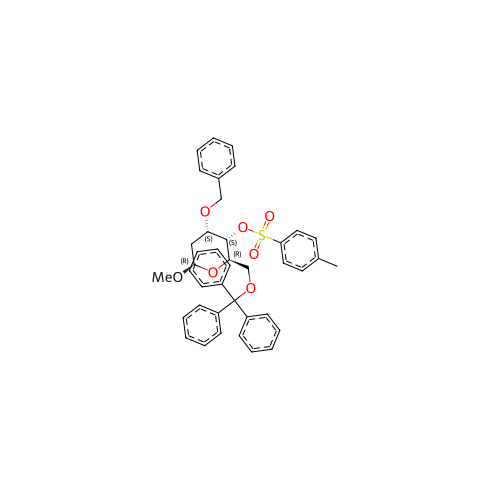 CO[C@H]1C[C@H](OCc2ccccc2)[C@H](OS(=O)(=O)c2ccc(C)cc2)[C@@H](COC(c2ccccc2)(c2ccccc2)c2ccccc2)O1